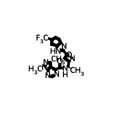 Cc1nn(C)c2ncnc(C(=O)N[C@@H](C)c3cc(-c4nc5ccc(C(F)(F)F)cc5[nH]4)on3)c12